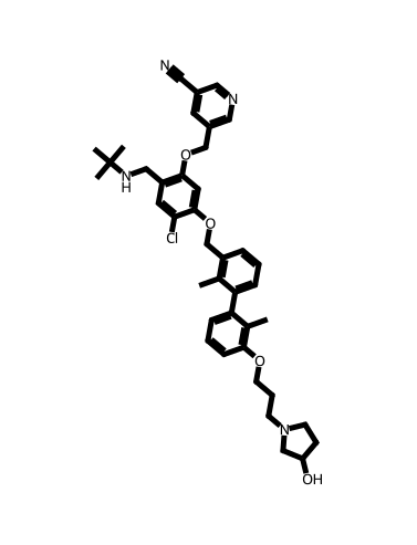 Cc1c(COc2cc(OCc3cncc(C#N)c3)c(CNC(C)(C)C)cc2Cl)cccc1-c1cccc(OCCCN2CCC(O)C2)c1C